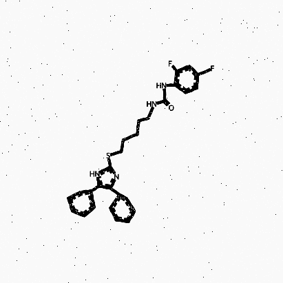 O=C(NCCCCCSc1nc(-c2ccccc2)c(-c2ccccc2)[nH]1)Nc1ccc(F)cc1F